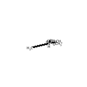 CCCCCCCCCCCCCC(=O)N[C@@H](CCC(=O)OC(C)C)C(=O)O